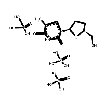 Cc1cn([C@H]2CC[C@@H](CO)O2)c(=O)[nH]c1=O.O=P(O)(O)O.O=P(O)(O)O.O=P(O)(O)O